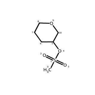 CS(=O)(=O)OC1CCCOC1